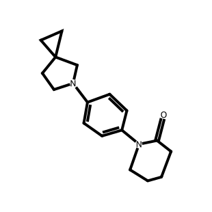 O=C1CCCCN1c1ccc(N2CCC3(CC3)C2)cc1